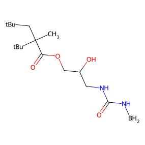 BNC(=O)NCC(O)COC(=O)C(C)(CC(C)(C)C)C(C)(C)C